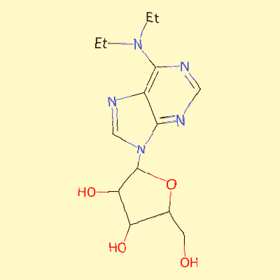 CCN(CC)c1ncnc2c1ncn2C1OC(CO)C(O)C1O